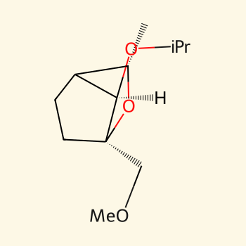 COC[C@@]12CCC([C@H](C)O1)[C@H]2OC(C)C